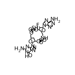 Nc1nc2c(nnn2C2OC3COP(=O)(S)OC4C(CNS(=O)(=O)OC2C3)OC(n2cnc3c(N)ncnc32)C4F)c(=O)[nH]1